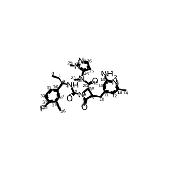 CC[C@@H](NC(=O)N1C(=O)C(Cc2cc(C)nc(N)c2)[C@H]1C(=O)N(C)c1ccnn1C)c1ccc(F)c(C)c1